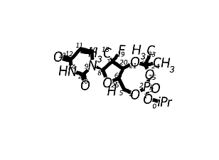 CC(C)OP1(=O)OC[C@H]2O[C@@H](n3ccc(=O)[nH]c3=O)[C@@](C)(F)C2OC(C)(C)O1